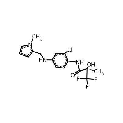 Cn1cccc1CNc1ccc(NC(=O)[C@@](C)(O)C(F)(F)F)c(Cl)c1